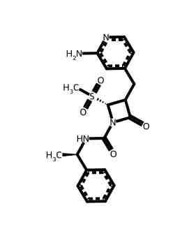 C[C@@H](NC(=O)N1C(=O)C(Cc2ccnc(N)c2)[C@H]1S(C)(=O)=O)c1ccccc1